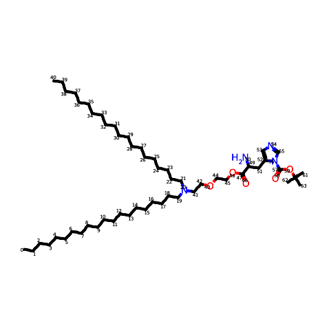 CCCCCCCCCCCCCCCCCCCCN(CCCCCCCCCCCCCCCCCCCC)CCOCCOC(=O)C(N)Cc1cncn1C(=O)OC(C)(C)C